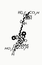 CN[C@@H](CNC(=O)[C@H](Cc1ccccc1)NC(=O)[C@H](Cc1ccccc1)NC(=O)CCCCCCCNC(=O)CC[C@@H](OP(O)(=S)CC(CCC(=O)O)C(=O)O)C(=O)O)C(=O)N(C)[C@@H](CC(=O)O)C(=O)N(C)[C@@H](CS)C(=O)O